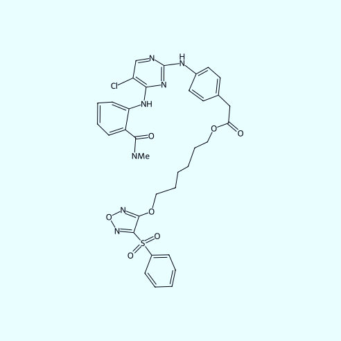 CNC(=O)c1ccccc1Nc1nc(Nc2ccc(CC(=O)OCCCCCCOc3nonc3S(=O)(=O)c3ccccc3)cc2)ncc1Cl